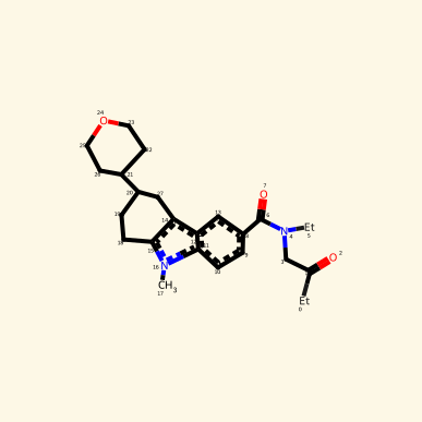 CCC(=O)CN(CC)C(=O)c1ccc2c(c1)c1c(n2C)CCC(C2CCOCC2)C1